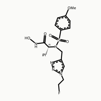 COc1ccc(S(=O)(=O)N(Cc2cn(CCF)nn2)[C@@H](C(=O)NO)C(C)C)cc1